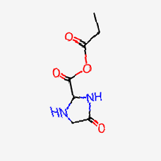 CCC(=O)OC(=O)C1NCC(=O)N1